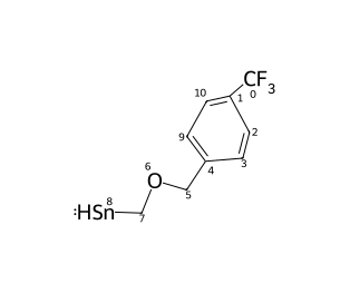 FC(F)(F)c1ccc(CO[CH2][SnH])cc1